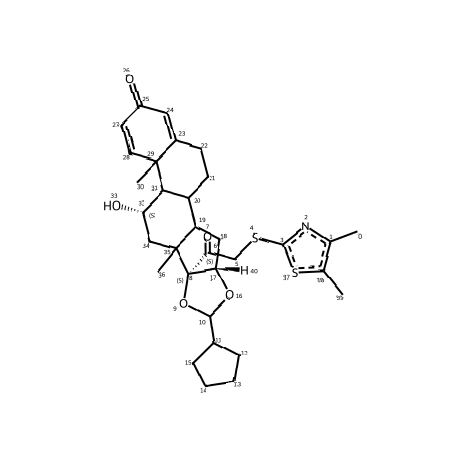 Cc1nc(SCC(=O)[C@@]23OC(C4CCCC4)O[C@H]2CC2C4CCC5=CC(=O)C=CC5(C)C4[C@@H](O)CC23C)sc1C